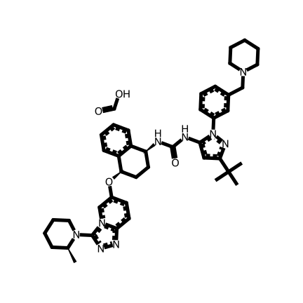 C[C@H]1CCCCN1c1nnc2ccc(O[C@@H]3CC[C@H](NC(=O)Nc4cc(C(C)(C)C)nn4-c4cccc(CN5CCCCC5)c4)c4ccccc43)cn12.O=CO